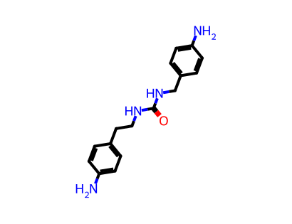 Nc1ccc(CCNC(=O)NCc2ccc(N)cc2)cc1